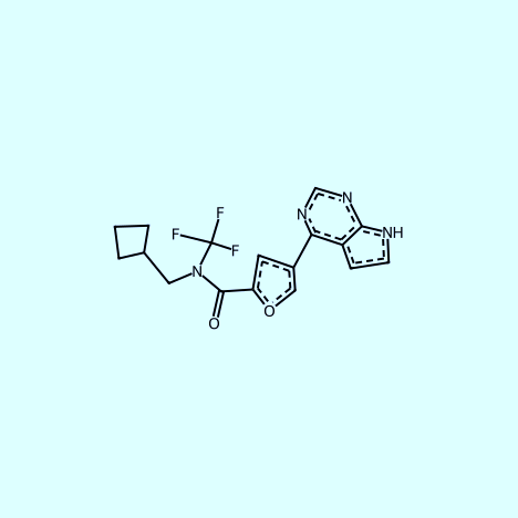 O=C(c1cc(-c2ncnc3[nH]ccc23)co1)N(CC1CCC1)C(F)(F)F